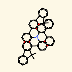 CC1(C)c2ccccc2-c2ccc(-c3ccccc3N(c3ccccc3-c3cccc4c3C(C)(C)c3ccccc3-4)c3ccc4ccccc4c3-c3ccccc3)cc21